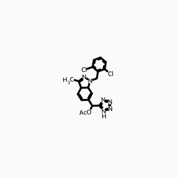 CC(=O)OC(C1=CC2C(C=C1)C(C)=NN2Cc1c(Cl)cccc1Cl)c1nnn[nH]1